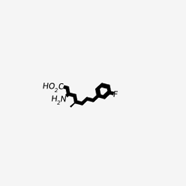 C[C@H](CCCc1cccc(F)c1)CC(N)CC(=O)O